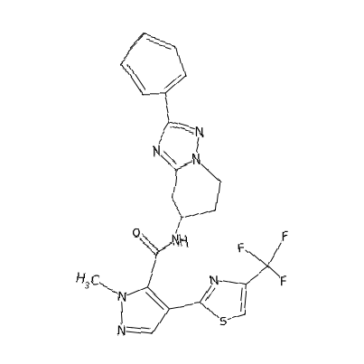 Cn1ncc(-c2nc(C(F)(F)F)cs2)c1C(=O)NC1CCn2nc(-c3ccccc3)nc2C1